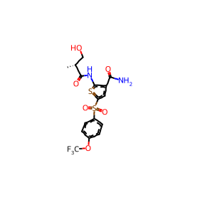 C[C@H](CO)C(=O)Nc1sc(S(=O)(=O)c2ccc(OC(F)(F)F)cc2)cc1C(N)=O